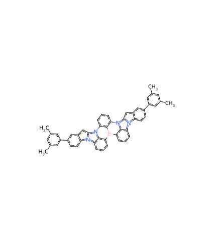 Cc1cc(C)cc(-c2ccc3c(c2)cc2n4c5c(cccc5n32)B2c3c-4cccc3-n3c4c2cccc4n2c4ccc(-c5cc(C)cc(C)c5)cc4cc32)c1